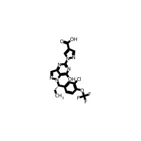 CC[C@@H](c1ccc(OC(F)(F)F)c(Cl)c1)n1ncc2nc(-n3cc(C(=O)O)cn3)nc(O)c21